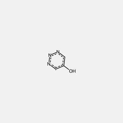 Oc1[c]nnnc1